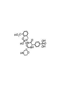 O=C(O)c1cccc2c1OB(O)[C@@H](NC(=O)C(NC(=O)[C@H]1CNCCO1)c1ccc(P(=O)(O)O)cc1)C2